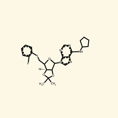 CC1(C)OC2C(n3cnc4c(NC5CCCC5)ncnc43)OC(CSc3ccccc3F)[C@@H]2O1